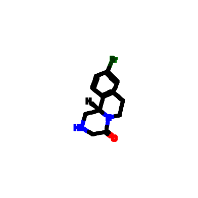 O=C1CNC[C@@H]2c3ccc(Br)cc3CCN12